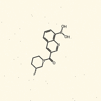 O=C(c1cnc2c(B(O)O)cccc2c1)N1CCCC(F)C1